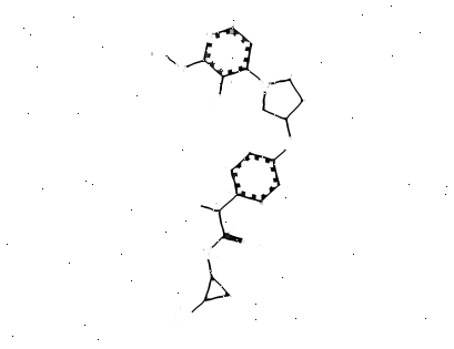 CCCNc1nccc(N2CCC(Oc3ccc(C(C)C(=O)NC4CC4C)cc3)C2)c1F